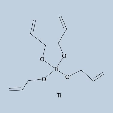 C=CC[O][Ti]([O]CC=C)([O]CC=C)[O]CC=C.[Ti]